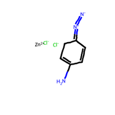 [Cl-].[Cl-].[N-]=[N+]=C1C=CC(N)=CC1.[Zn+2]